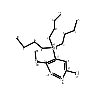 CCC[CH2][Sn]([CH2]CCC)([CH2]CCC)[c]1cc(Cl)nnc1OC